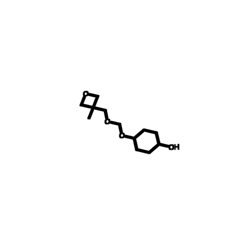 CC1(COCOC2CCC(O)CC2)COC1